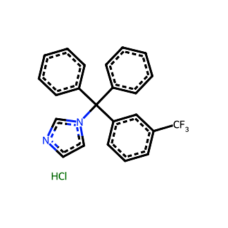 Cl.FC(F)(F)c1cccc(C(c2ccccc2)(c2ccccc2)n2ccnc2)c1